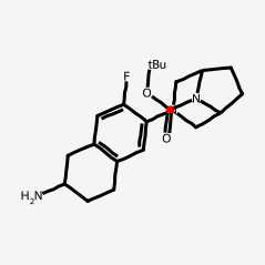 CC(C)(C)OC(=O)N1C2CCC1CN(c1cc3c(cc1F)CC(N)CC3)C2